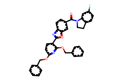 O=C(c1ccc2nc(-c3ccc(OCc4ccccc4)nc3OCc3ccccc3)oc2c1)N1CCc2ccc(F)cc21